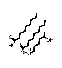 CC(O)CCCCO.CCCCCCCCC(=O)O.CCCCCCCCC(=O)O